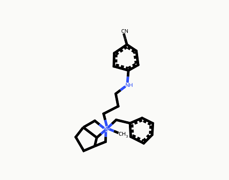 CN(CCCNc1ccc(C#N)cc1)C1C2CCC1CN(Cc1ccccc1)C2